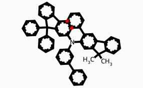 CC1(C)c2ccccc2-c2cc(-c3ccccc3)c(N(c3cccc(-c4ccccc4)c3)c3ccc4c(c3)C(c3ccccc3)(c3ccccc3)c3ccccc3-4)cc21